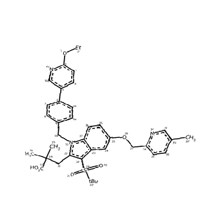 CCOc1ccc(-c2ccc(Cn3c(CC(C)(C)C(=O)O)c(S(=O)(=O)C(C)(C)C)c4cc(OCc5ccc(C)cn5)ccc43)cc2)cn1